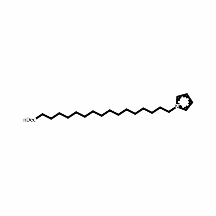 CCCCCCCCCCCCCCCCCCCCCCCCCCn1cccc1